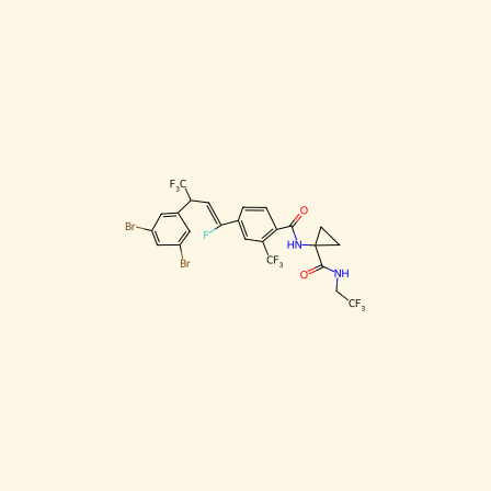 O=C(NC1(C(=O)NCC(F)(F)F)CC1)c1ccc(C(F)=CC(c2cc(Br)cc(Br)c2)C(F)(F)F)cc1C(F)(F)F